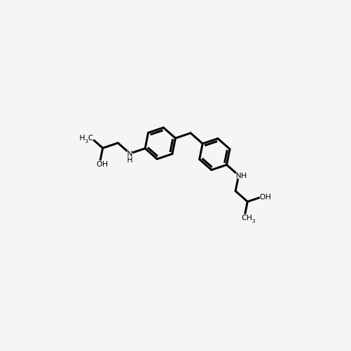 CC(O)CNc1ccc(Cc2ccc(NCC(C)O)cc2)cc1